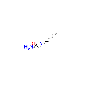 CCCCCCCC(C)N1CCC(CN)(OC)CC1